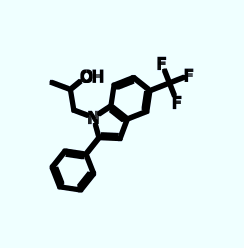 CC(O)Cn1c(-c2ccccc2)cc2cc(C(F)(F)F)ccc21